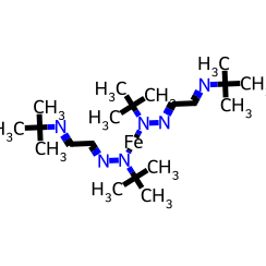 CC(C)(C)N=CC=N[N]([Fe][N](N=CC=NC(C)(C)C)C(C)(C)C)C(C)(C)C